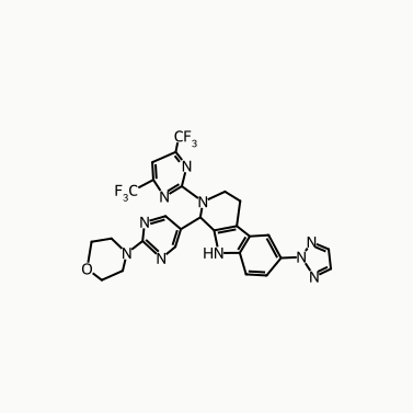 FC(F)(F)c1cc(C(F)(F)F)nc(N2CCc3c([nH]c4ccc(-n5nccn5)cc34)C2c2cnc(N3CCOCC3)nc2)n1